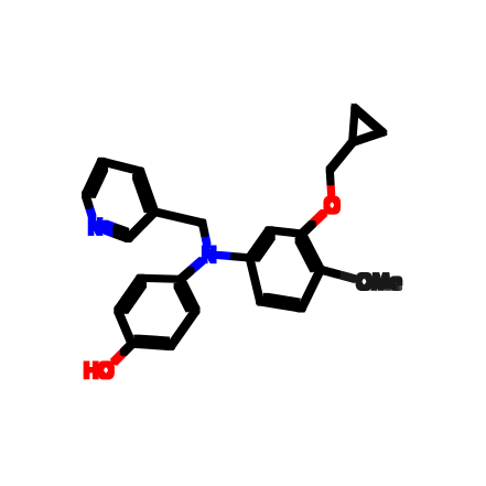 COc1ccc(N(Cc2cccnc2)c2ccc(O)cc2)cc1OCC1CC1